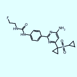 Nc1cc(C2(S(=O)(=O)C3CC3)CC2)nc(-c2ccc(NC(=O)NCCF)cc2)n1